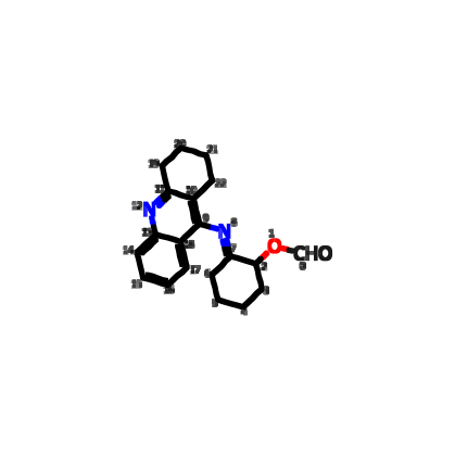 O=COC1CCCCC1=Nc1c2c(nc3ccccc13)CCCC2